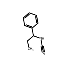 CCC(NC#N)c1ccccc1